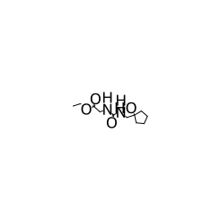 CCOC(=O)CNC(=O)NCC1(O)CCCC1